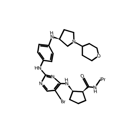 CC(C)NC(=O)[C@H]1CCC[C@H]1Nc1nc(Nc2ccc(N[C@H]3CCN(C4CCOCC4)C3)cc2)ncc1Br